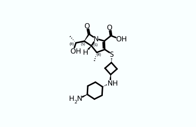 C[C@@H](O)[C@H]1C(=O)N2C(C(=O)O)=C(S[C@H]3C[C@H](N[C@H]4CC[C@H](N)CC4)C3)[C@H](C)[C@H]12